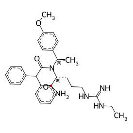 CCNC(=N)NCCC[C@H](C(N)=O)N(C(=O)C(c1ccccc1)c1ccccc1)[C@H](C)c1ccc(OC)cc1